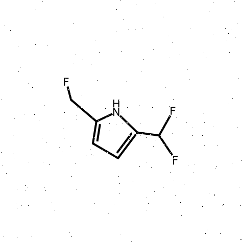 FCc1ccc(C(F)F)[nH]1